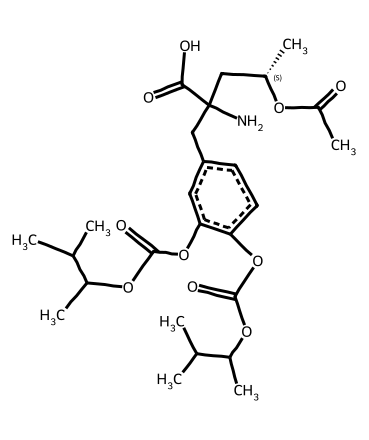 CC(=O)O[C@@H](C)CC(N)(Cc1ccc(OC(=O)OC(C)C(C)C)c(OC(=O)OC(C)C(C)C)c1)C(=O)O